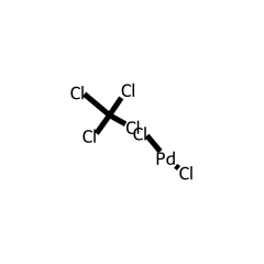 ClC(Cl)(Cl)Cl.[Cl][Pd][Cl]